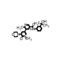 Cc1ncc(C(=O)Nc2cccc(C(C)(C)O)c2)cc1-c1cc(N2CCOCC2)c(=O)n(C)c1